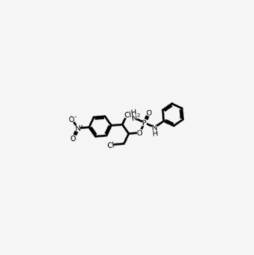 NP(=O)(Nc1ccccc1)OC(CCl)C(Cl)c1ccc([N+](=O)[O-])cc1